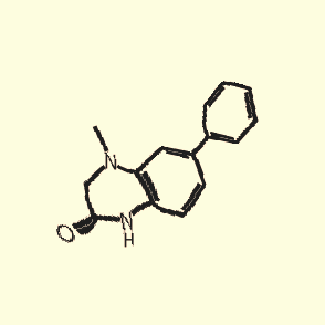 CN1CC(=O)Nc2ccc(-c3ccccc3)cc21